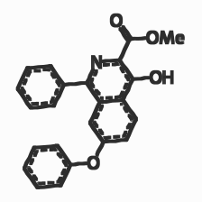 COC(=O)c1nc(-c2ccccc2)c2cc(Oc3ccccc3)ccc2c1O